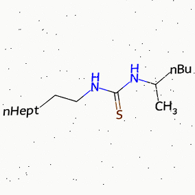 CCCCCCCCCNC(=S)NC(C)CCCC